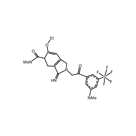 CCOC1=CC2=C(CC1C(=O)NC)C(=N)N(CC(=O)c1cc(NC)cc(S(F)(F)(F)(F)F)c1)C2